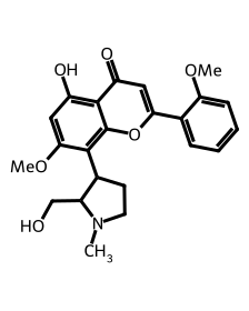 COc1ccccc1-c1cc(=O)c2c(O)cc(OC)c(C3CCN(C)C3CO)c2o1